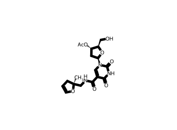 CC(=O)O[C@H]1C[C@H](n2cc(C(=O)NC[C@]3(C)CC=CO3)c(=O)[nH]c2=O)O[C@@H]1CO